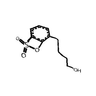 O=S1(=O)Oc2c(CCCCO)cccc21